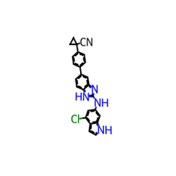 N#CC1(c2ccc(-c3ccc4[nH]c(Nc5cc(Cl)c6cc[nH]c6c5)nc4c3)cc2)CC1